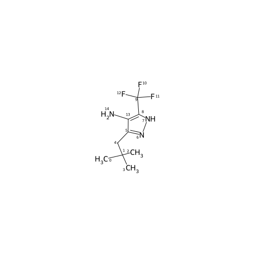 CC(C)(C)Cc1n[nH]c(C(F)(F)F)c1N